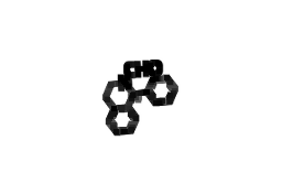 O=CN1CCc2ccccc2[C@@H]1c1ccccc1